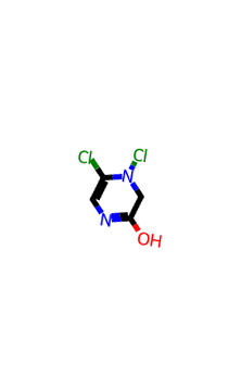 OC1=NC=C(Cl)N(Cl)C1